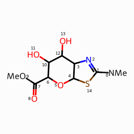 CNC1=NC2C(OC(C(=O)OC)C(O)C2O)S1